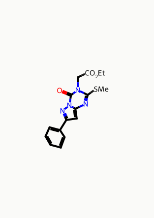 CCOC(=O)Cn1c(SC)nc2cc(-c3ccccc3)nn2c1=O